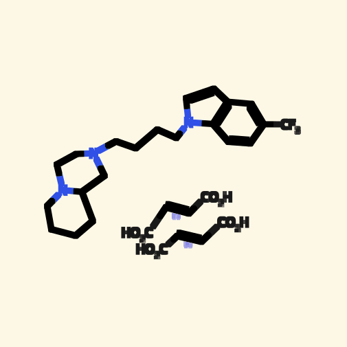 FC(F)(F)c1ccc2c(ccn2CCCCN2CCN3CCCCC3C2)c1.O=C(O)/C=C/C(=O)O.O=C(O)/C=C/C(=O)O